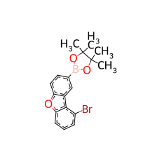 CC1(C)OB(c2ccc3oc4cccc(Br)c4c3c2)OC1(C)C